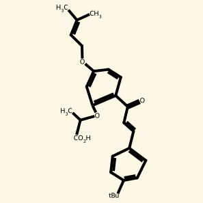 CC(C)=CCOc1ccc(C(=O)/C=C/c2ccc(C(C)(C)C)cc2)c(OC(C)C(=O)O)c1